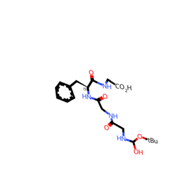 CC(C)(C)OC(O)NCC(=O)NCC(=O)N[C@@H](Cc1ccccc1)C(=O)NCC(=O)O